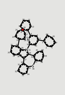 c1ccc(-c2cc(-c3ccccc3)nc(-n3c4c(c5cccc(-c6ccccc6)c53)-c3ccccc3Sc3ccccc3-4)c2)cc1